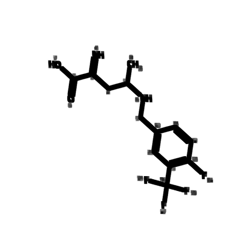 CC(CC(=N)C(=O)O)NCc1ccc(F)c(C(F)(F)F)c1